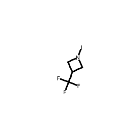 FC(F)(F)C1CN(I)C1